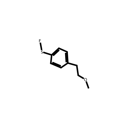 COCCc1ccc(SF)cc1